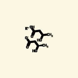 CC(O)CC(=O)O.C[C@@H](O)CC(=O)[O-].[K+]